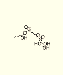 CCCCC[C@H](O)c1ccc(N2C(=O)CC[C@@H]2CCCc2ccc(C(=O)OCC(O)C(O)CO)s2)cc1